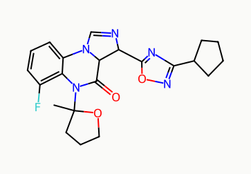 CC1(N2C(=O)C3C(c4nc(C5CCCC5)no4)N=CN3c3cccc(F)c32)CCCO1